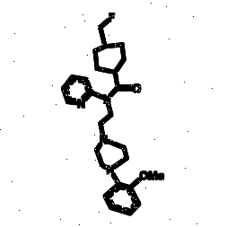 [11CH3]Oc1ccccc1N1CCN(CCN(C(=O)C2CCC(CF)CC2)c2ccccn2)CC1